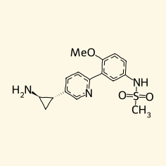 COc1ccc(NS(C)(=O)=O)cc1-c1ccc([C@@H]2C[C@H]2N)cn1